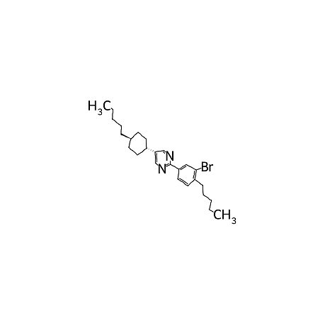 CCCCCc1ccc(-c2ncc([C@H]3CC[C@H](CCCCC)CC3)cn2)cc1Br